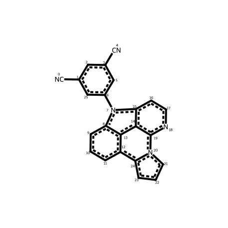 N#Cc1cc(C#N)cc(-n2c3cccc4c3c3c2ccnc3n2cccc42)c1